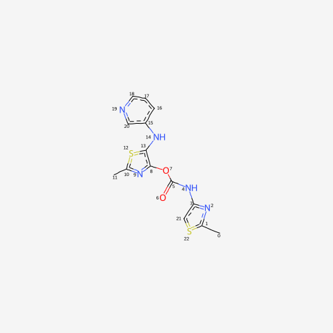 Cc1nc(NC(=O)Oc2nc(C)sc2Nc2cccnc2)cs1